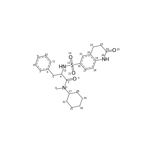 CN(C(=O)C(Cc1ccccc1)NS(=O)(=O)c1ccc2c(c1)CCC(=O)N2)C1CCCCC1